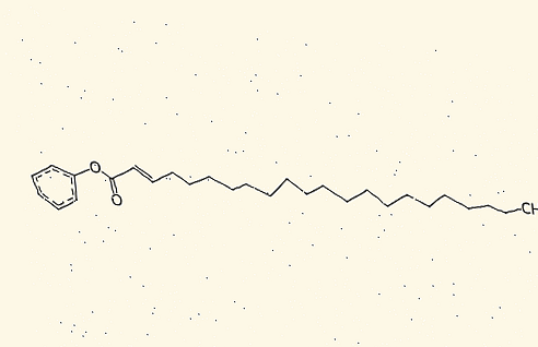 CCCCCCCCCCCCCCCCCCCC=CC(=O)Oc1ccccc1